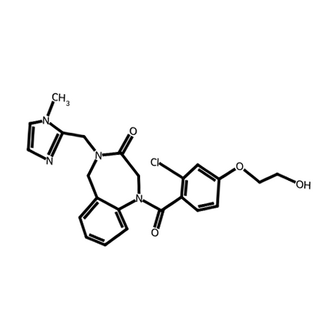 Cn1ccnc1CN1Cc2ccccc2N(C(=O)c2ccc(OCCO)cc2Cl)CC1=O